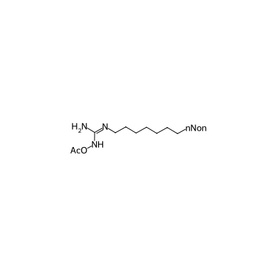 CCCCCCCCCCCCCCCCN=C(N)NOC(C)=O